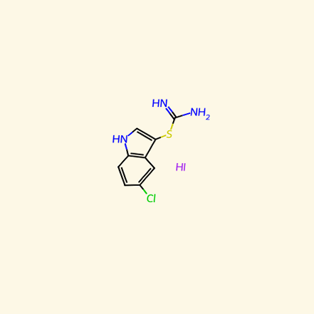 I.N=C(N)Sc1c[nH]c2ccc(Cl)cc12